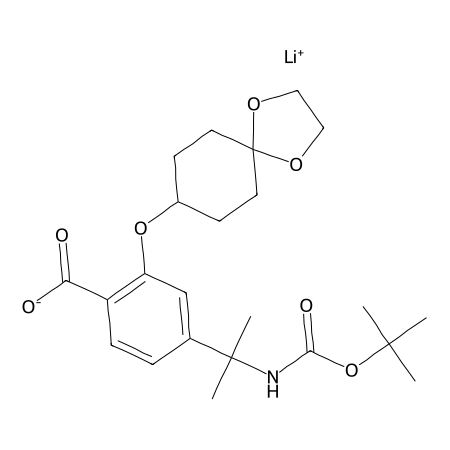 CC(C)(C)OC(=O)NC(C)(C)c1ccc(C(=O)[O-])c(OC2CCC3(CC2)OCCO3)c1.[Li+]